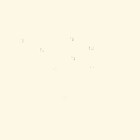 COCCOc1nc(NC(C)=O)nc2ccc(Cl)nc12